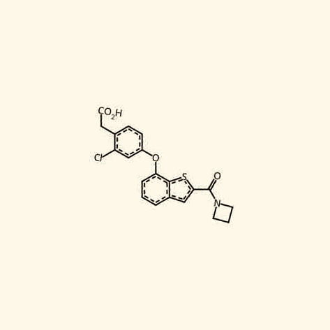 O=C(O)Cc1ccc(Oc2cccc3cc(C(=O)N4CCC4)sc23)cc1Cl